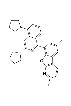 Cc1cc(-c2nc(C3CCCC3)cc3c(C4CCCC4)cccc23)c2oc3nc(C)ccc3c2c1